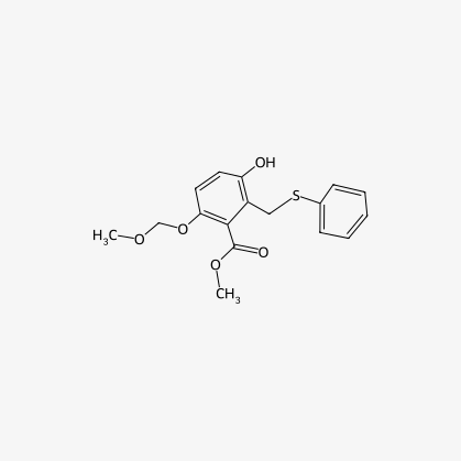 COCOc1ccc(O)c(CSc2ccccc2)c1C(=O)OC